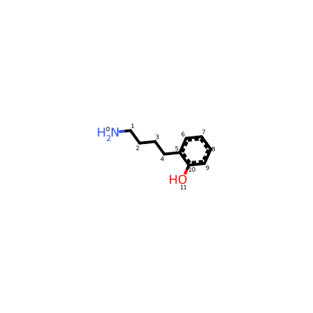 NCCCCc1ccccc1O